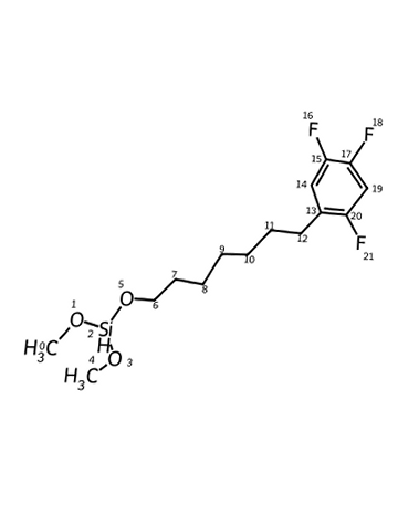 CO[SiH](OC)OCCCCCCCc1cc(F)c(F)cc1F